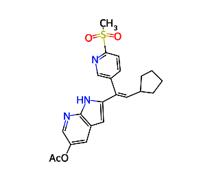 CC(=O)Oc1cnc2[nH]c(C(=CC3CCCC3)c3ccc(S(C)(=O)=O)nc3)cc2c1